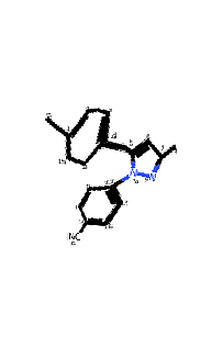 CC1=CC=C(c2cc(C)nn2-c2ccc(C#N)cc2)CC1